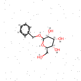 OC[C@H]1OC(OCc2ccccc2)[C@H](O)[C@H](O)[C@@H]1O